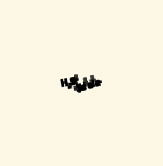 [Fe].[Sc].[SrH2].[Ta]